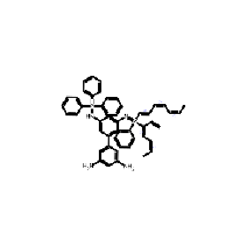 C=C/C(=C\C=C/C)P(/C=C/C=C\C=C/C)(=Nc1cc(N[PH](c2ccccc2)(c2ccccc2)c2ccccc2)cc(-c2cc(N)cc(N)c2)c1)c1ccccc1